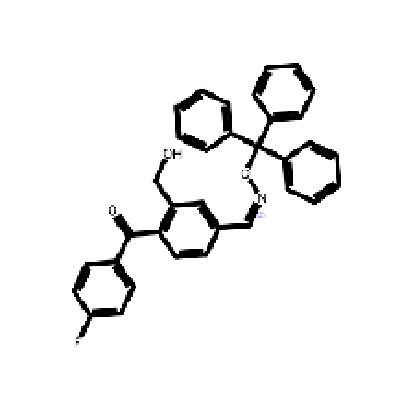 O=C(c1ccc(F)cc1)c1ccc(/C=N\OC(c2ccccc2)(c2ccccc2)c2ccccc2)cc1CO